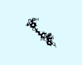 COc1cccc(C(O)(C(=O)N2CCC(CCCCOc3ccc(C(=O)O)c(OC)c3)CC2)C(F)(F)F)c1